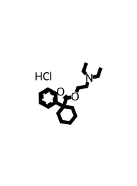 CCN(CC)CCOC(=O)C1(c2ccccc2)CCCCC1.Cl